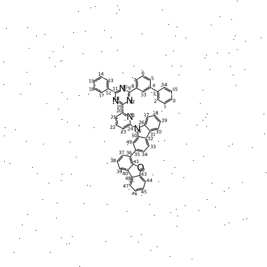 c1ccc(-c2cccc(-c3nc(-c4ccccc4)nc(-c4cccc(-n5c6ccccc6c6ccc(-c7cccc8c7oc7ccccc78)cc65)n4)n3)c2)cc1